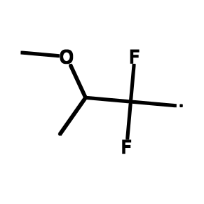 [CH2]C(F)(F)C(C)OC